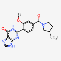 CCOc1cc(C(=O)N2CC[C@H](C(=O)O)C2)ccc1-c1nc2[nH]cnc2c(=O)[nH]1